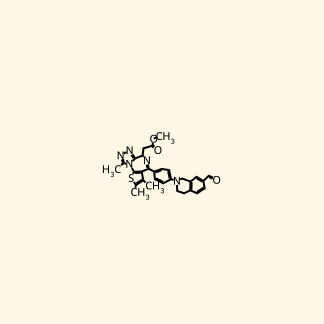 COC(=O)CC1N=C(c2ccc(N3CCc4ccc(C=O)cc4C3)cc2)c2c(sc(C)c2C)-n2c(C)nnc21